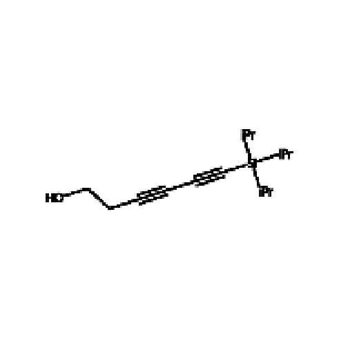 CC(C)[Si](C#CC#CCCO)(C(C)C)C(C)C